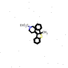 CCOC(=O)N1CCC(=C2c3ccccc3SC2(C)c2ccccc2)CC1